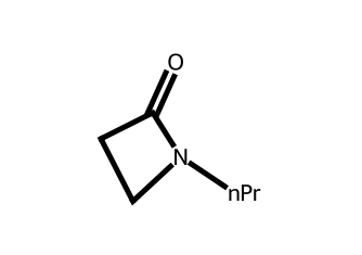 [CH2]CCN1CCC1=O